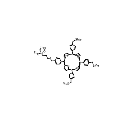 CCO[Si](CCCSCc1ccc(-c2c3nc(c(-c4ccc(CSC)cc4)c4ccc([nH]4)c(-c4ccc(CSC)cc4)c4nc(c(-c5ccc(CSC)cc5)c5ccc2[nH]5)C=C4)C=C3)cc1)(OCC)OCC